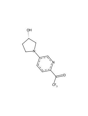 O=C(c1ccc(N2CC[C@H](O)C2)cn1)C(F)(F)F